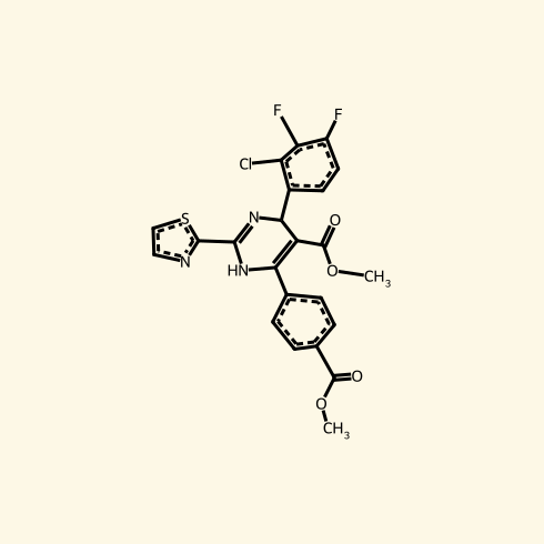 COC(=O)C1=C(c2ccc(C(=O)OC)cc2)NC(c2nccs2)=NC1c1ccc(F)c(F)c1Cl